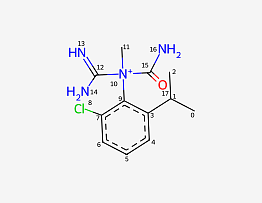 CC(C)c1cccc(Cl)c1[N+](C)(C(=N)N)C(N)=O